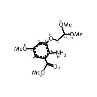 COC(=O)c1cc(OC)cc(OCC(OC)OC)c1N